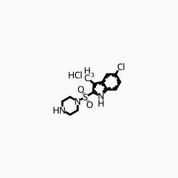 Cc1c(S(=O)(=O)N2CCNCC2)[nH]c2ccc(Cl)cc12.Cl